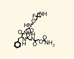 NC(=O)OCC(=O)NCC(=O)N[C@@H](Cc1ccccc1)C(=O)NCC(=O)NCOCC1(F)CNC1